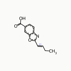 CC/C=C/c1nc2ccc(C(=O)O)cc2o1